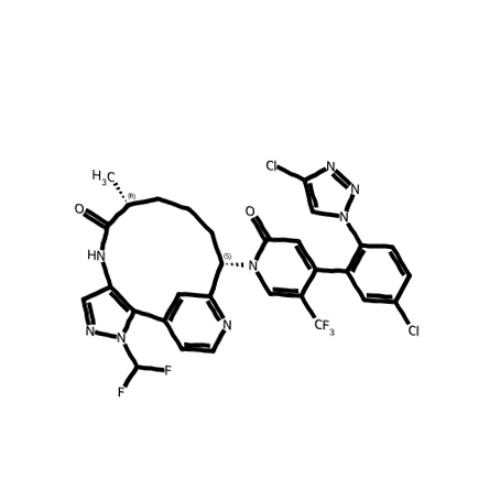 C[C@@H]1CCC[C@H](n2cc(C(F)(F)F)c(-c3cc(Cl)ccc3-n3cc(Cl)nn3)cc2=O)c2cc(ccn2)-c2c(cnn2C(F)F)NC1=O